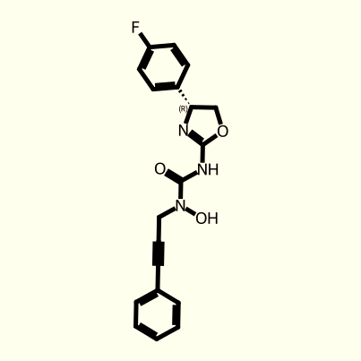 O=C(NC1=N[C@H](c2ccc(F)cc2)CO1)N(O)CC#Cc1ccccc1